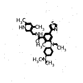 CCN(c1cc(-c2cscn2)cc(C(=O)NCC2=C(C)C=C(C)NC2)c1C)[C@H]1CC[C@H](N(C)C)CC1